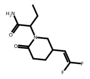 CCC(C(N)=O)N1CC(C=C(F)F)CCC1=O